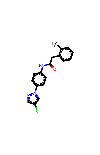 Cc1ccccc1CC(=O)Nc1ccc(-n2cc(Cl)cn2)cc1